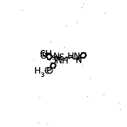 COc1ccc(-c2nc(SCCCCCc3nc4ccccc4[nH]3)[nH]c2-c2ccc(OC)cc2)cc1